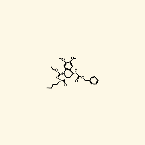 CCCCOC(=O)[C@H]1C[C@@H](NC(=O)OCc2ccccc2)c2cc(OC)c(OC)cc2N1C(=O)OCC